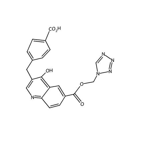 O=C(O)c1ccc(Cc2cnc3ccc(C(=O)OCn4cnnn4)cc3c2O)cc1